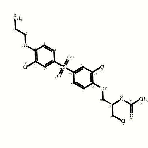 [CH2][CH]COc1ccc(S(=O)(=O)c2ccc(OC[C@H](CCl)OC(C)=O)c(Cl)c2)cc1Cl